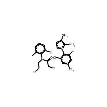 CCOCN(C(=O)CCl)c1c(C)cccc1CC.Nc1c([N+](=O)[O-])cnn1-c1c(Cl)cc(C(F)(F)F)cc1Cl